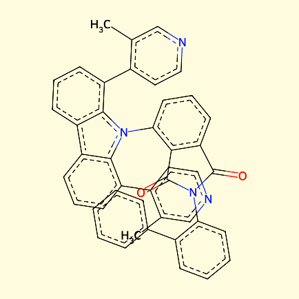 Cc1cnccc1-c1cccc2c3cccc(-c4ccncc4C)c3n(-c3cccc4c3C(=O)N(c3ccccc3-c3ccccc3)C4=O)c12